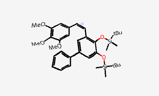 COc1cc(/C=C\c2cc(-c3ccccc3)cc(O[Si](C)(C)C(C)(C)C)c2O[Si](C)(C)C(C)(C)C)cc(OC)c1OC